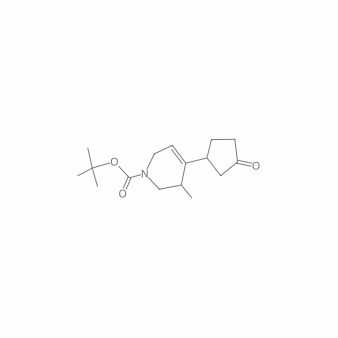 CC1CN(C(=O)OC(C)(C)C)CC=C1C1CCC(=O)C1